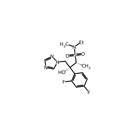 CCN(C)S(=O)(=O)[C@H](C)[C@](O)(Cn1cncn1)c1ccc(F)cc1F